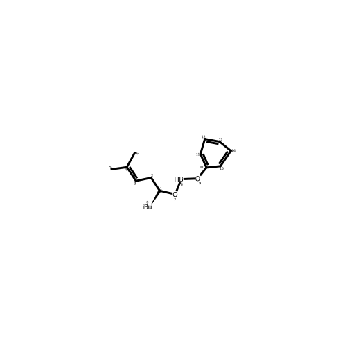 CC[C@H](C)C(CC=C(C)C)OBOc1ccccc1